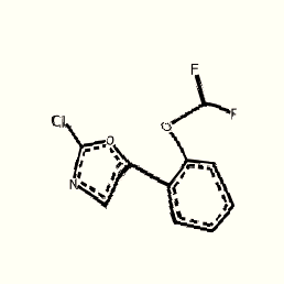 FC(F)Oc1ccccc1-c1cnc(Cl)o1